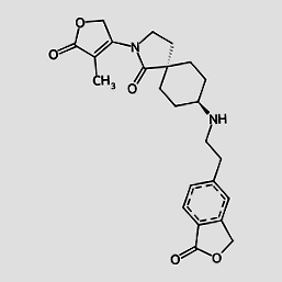 CC1=C(N2CC[C@]3(CC[C@H](NCCc4ccc5c(c4)COC5=O)CC3)C2=O)COC1=O